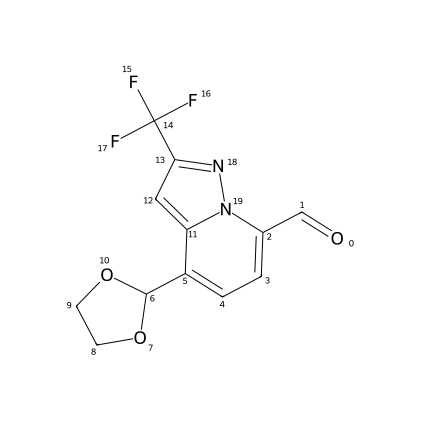 O=Cc1ccc(C2OCCO2)c2cc(C(F)(F)F)nn12